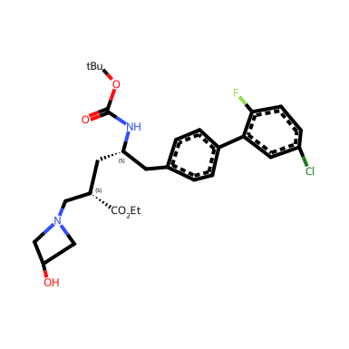 CCOC(=O)[C@@H](C[C@@H](Cc1ccc(-c2cc(Cl)ccc2F)cc1)NC(=O)OC(C)(C)C)CN1CC(O)C1